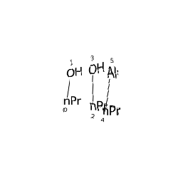 CCCO.CCCO.CC[CH2][Al]